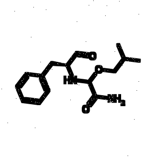 CC(C)COC(N[C@H](C=O)Cc1ccccc1)C(N)=O